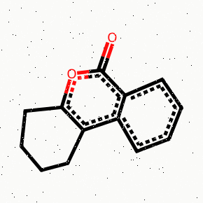 O=c1oc2c(c3ccccc13)CCCC2